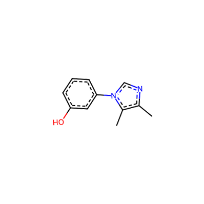 Cc1ncn(-c2cccc(O)c2)c1C